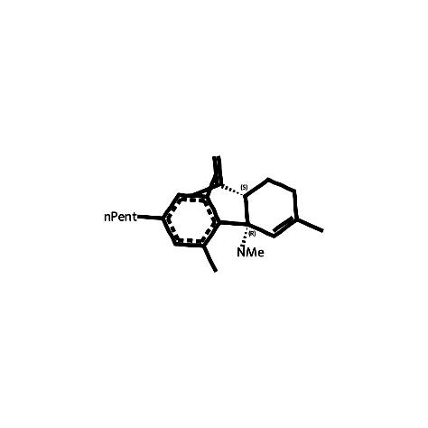 C=C(C)[C@@H]1CCC(C)=C[C@@]1(NC)c1c(C)cc(CCCCC)cc1C